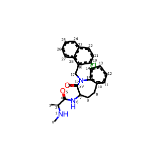 CN[C@@H](C)C(=O)NC1CCc2ccccc2N(Cc2c(Cl)ccc3ccccc23)C1=O